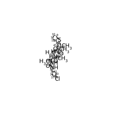 CCOC(Cc1csc2ccccc12)(OCC)[C@H](C)NC(=O)[C@H](C)NC(=O)CN(C)NC(=O)NCc1ccc(Cl)cc1